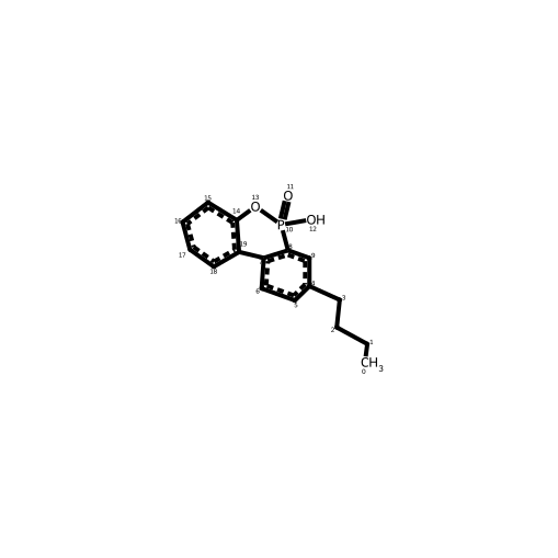 CCCCc1ccc2c(c1)P(=O)(O)Oc1ccccc1-2